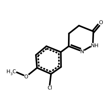 COc1ccc(C2=NNC(=O)CC2)cc1Cl